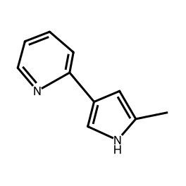 Cc1cc(-c2ccccn2)c[nH]1